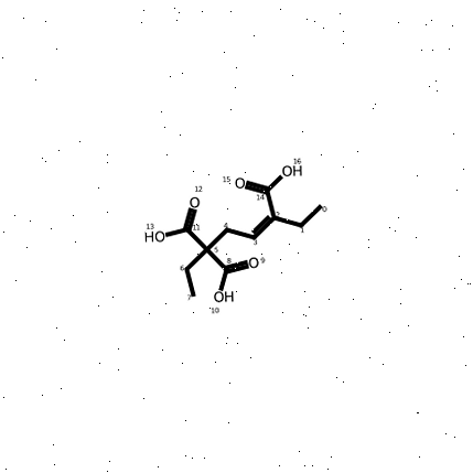 CC/C(=C/CC(CC)(C(=O)O)C(=O)O)C(=O)O